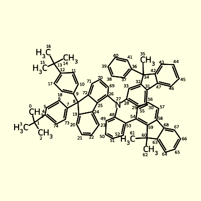 CC(C)(C)c1ccc(C2(c3ccc(C(C)(C)C)cc3)c3ccccc3-c3c(N(c4ccc5c(c4)C(C)(c4ccccc4)c4ccccc4-5)c4ccccc4-c4cccc5c4C(C)(C)c4ccccc4-5)cccc32)cc1